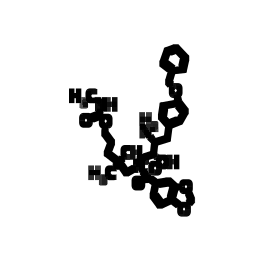 CNC(=O)OCCCC(C)(C)CN(C[C@@H](O)[C@@H](N)Cc1ccc(OCc2ccccc2)cc1)S(=O)(=O)c1ccc2c(c1)OCO2